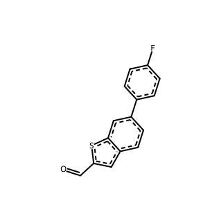 O=Cc1cc2ccc(-c3ccc(F)cc3)cc2s1